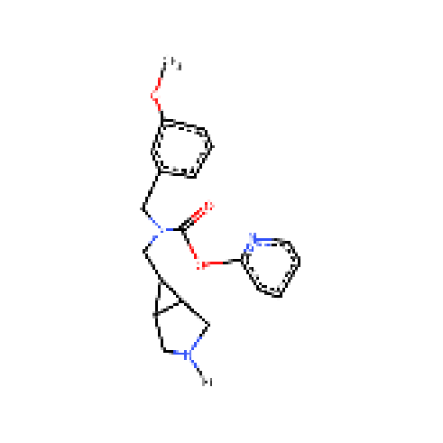 CCN1CC2C(C1)C2CN(Cc1cccc(OC(F)(F)F)c1)C(=O)Oc1ccccn1